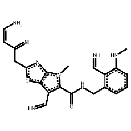 CNc1cccc(CNC(=O)c2c(C=N)c3sc(CC(=N)/C=C\N)nc3n2C)c1C=N